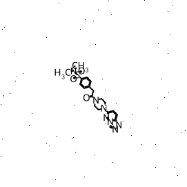 CN(C)S(=O)(=O)c1ccc(CC(=O)N2CCN(c3ccc4nncn4n3)CC2)cc1